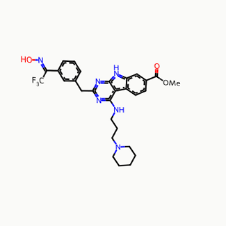 COC(=O)c1ccc2c(c1)[nH]c1nc(Cc3cccc(/C(=N/O)C(F)(F)F)c3)nc(NCCCN3CCCCC3)c12